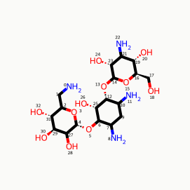 NCC1O[C@H](OC2C(N)CC(N)[C@@H](OC3O[C@H](CO)[C@@H](O)C(N)[C@H]3O)[C@H]2O)C(O)[C@@H](O)[C@@H]1O